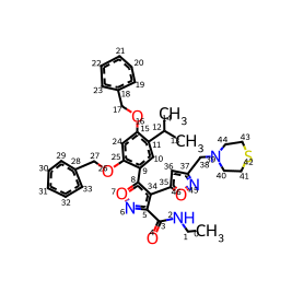 CCNC(=O)c1noc(-c2cc(C(C)C)c(OCc3ccccc3)cc2OCc2ccccc2)c1-c1cc(CN2CCSCC2)no1